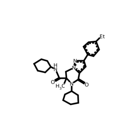 CCc1ccc(-c2cc3n(n2)CC(C)(C(=O)NC2CCCCC2)N(C2CCCCC2)C3=O)cc1